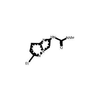 CCc1ccc2nc(NC(=O)NC)cn2n1